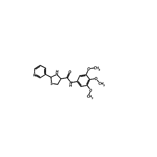 COc1cc(NC(=O)C2CSC(c3cccnc3)N2)cc(OC)c1OC